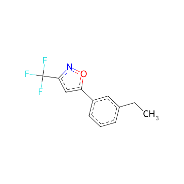 CCc1cccc(-c2cc(C(F)(F)F)no2)c1